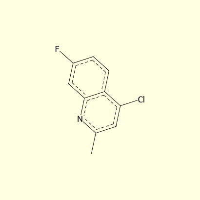 Cc1cc(Cl)c2ccc(F)cc2n1